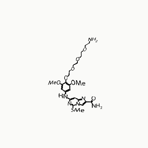 COc1cc(Nc2cc3nc(C(N)=O)cn3c(SC)n2)cc(OC)c1OCCOCCOCCOCCN